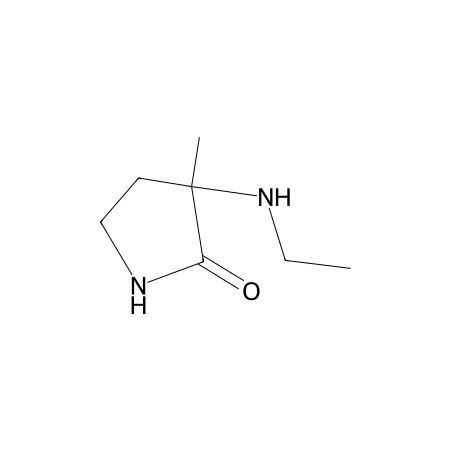 CCNC1(C)CCNC1=O